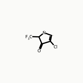 O=C1C(Cl)=[C][N]C1C(F)(F)F